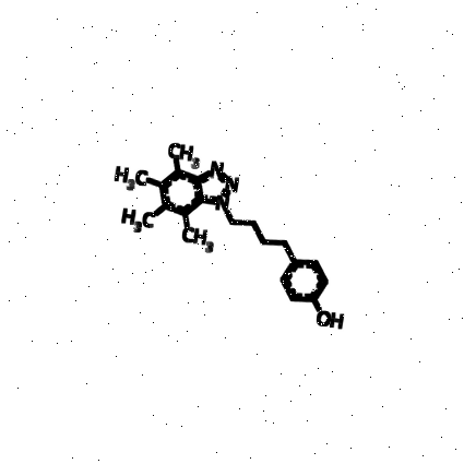 Cc1c(C)c(C)c2c(nnn2CCCCc2ccc(O)cc2)c1C